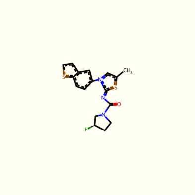 Cc1cn(-c2ccc3sccc3c2)/c(=N/C(=O)N2CC[C@@H](F)C2)s1